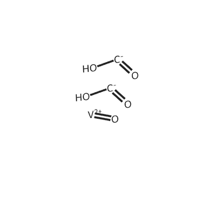 O=[C-]O.O=[C-]O.[O]=[V+2]